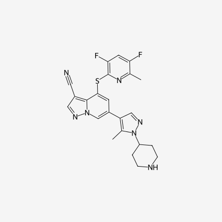 Cc1nc(Sc2cc(-c3cnn(C4CCNCC4)c3C)cn3ncc(C#N)c23)c(F)cc1F